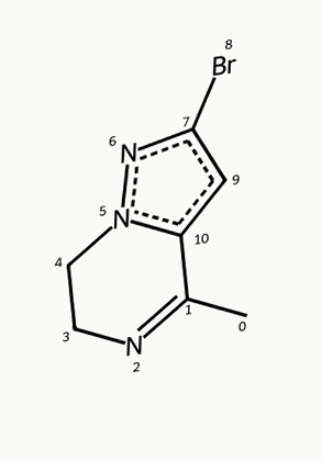 CC1=NCCn2nc(Br)cc21